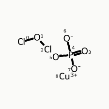 ClOCl.O=P([O-])([O-])[O-].[Cu+3]